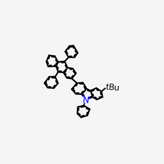 CC(C)(C)c1ccc2c(c1)c1cc(-c3ccc4c(-c5ccccc5)c5ccccc5c(-c5ccccc5)c4c3)ccc1n2-c1ccccc1